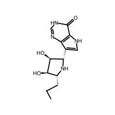 CCC[C@H]1N[C@@H](c2c[nH]c3c(=O)[nH]cnc23)[C@H](O)[C@@H]1O